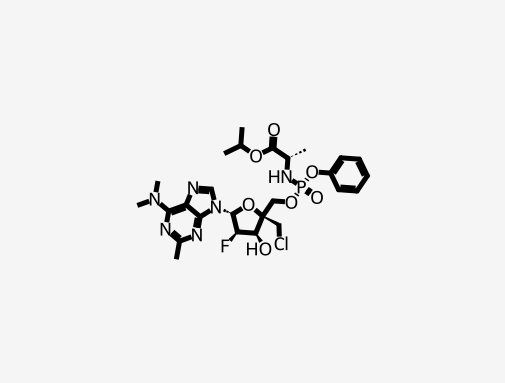 Cc1nc(N(C)C)c2ncn([C@@H]3O[C@](CCl)(COP(=O)(N[C@@H](C)C(=O)OC(C)C)Oc4ccccc4)[C@@H](O)[C@H]3F)c2n1